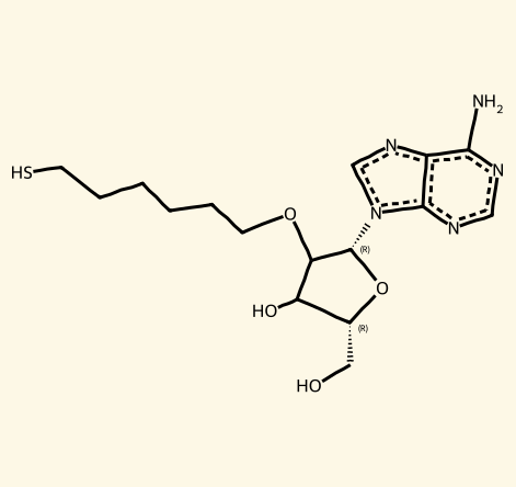 Nc1ncnc2c1ncn2[C@@H]1O[C@H](CO)C(O)C1OCCCCCCS